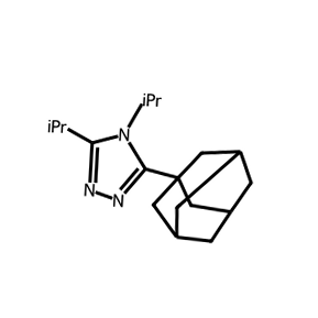 CC(C)c1nnc(C23CC4CC(CC(C4)C2)C3)n1C(C)C